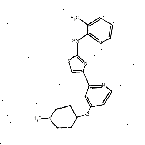 Cc1cccnc1Nc1nc(-c2cc(OC3CCN(C)CC3)ccn2)cs1